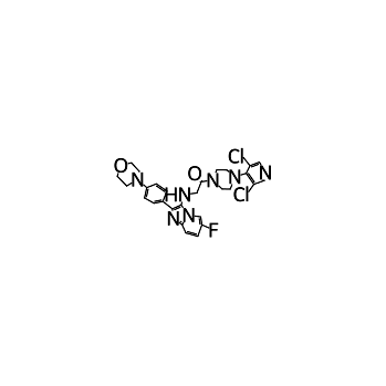 O=C(CNc1c(-c2ccc(N3CCOCC3)cc2)nc2ccc(F)cn12)N1CCN(c2c(Cl)cncc2Cl)CC1